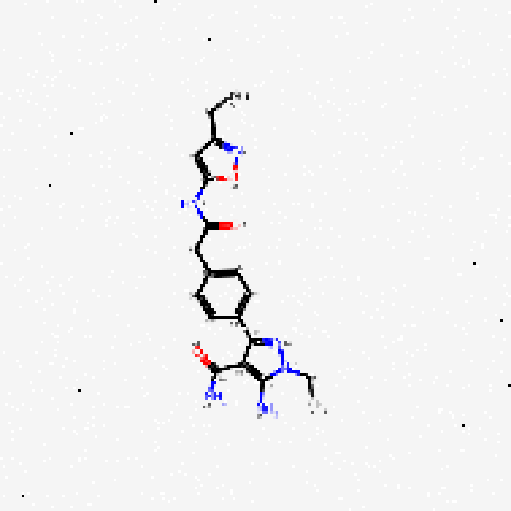 CC(C)(C)Cc1cc(NC(=O)Cc2ccc(-c3nn(CC(F)(F)F)c(N)c3C(N)=O)cc2)on1